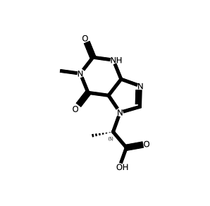 C[C@@H](C(=O)O)N1C=NC2NC(=O)N(C)C(=O)C21